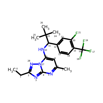 CCc1nc2nc(C)cc(NC(c3ccc(C(F)(F)F)c(F)c3)C(C)(C)C)n2n1